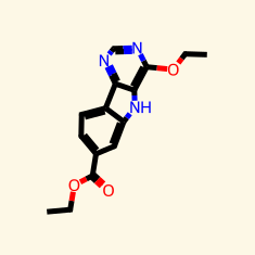 CCOC(=O)c1ccc2c(c1)[nH]c1c(OCC)ncnc12